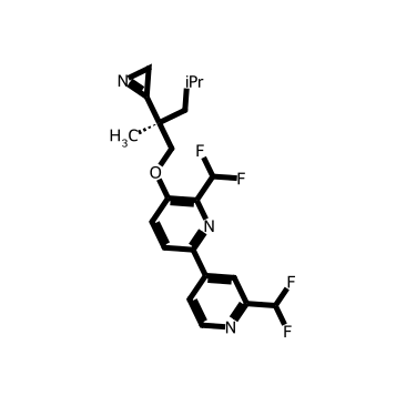 CC(C)C[C@@](C)(COc1ccc(-c2ccnc(C(F)F)c2)nc1C(F)F)C1=NC1